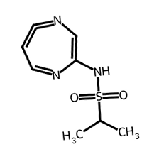 CC(C)S(=O)(=O)NC1=CN=C=CC=N1